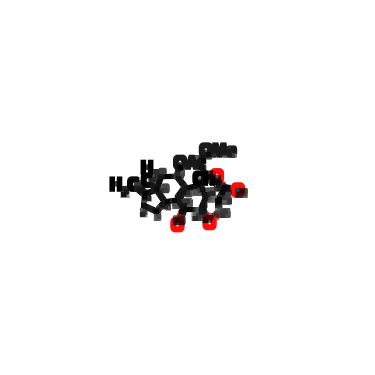 C=C1CCC2C3=C(C(OC(C)=O)CC12C)C1(C)c2c(coc2C3=O)C(=O)OC1COC